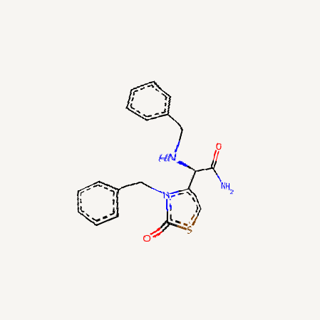 NC(=O)[C@H](NCc1ccccc1)c1csc(=O)n1Cc1ccccc1